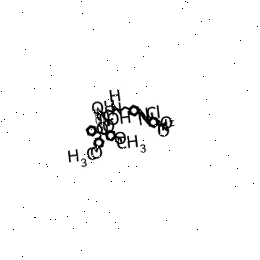 COc1ccc(C(OC[C@@H]2C[C@@H](O)C(CCNCCc3ccc(N=Nc4ccc([N+](=O)[O-])cc4Cl)cc3)N2C(=O)O)(c2ccccc2)c2ccc(OC)cc2)cc1